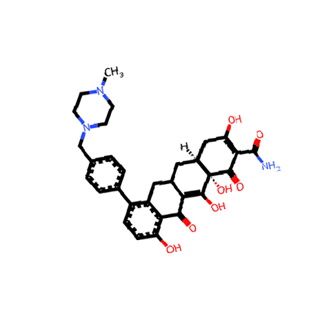 CN1CCN(Cc2ccc(-c3ccc(O)c4c3CC3C[C@H]5CC(O)=C(C(N)=O)C(=O)[C@@]5(O)C(O)=C3C4=O)cc2)CC1